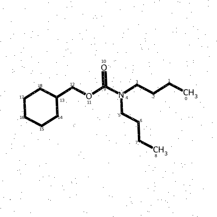 CCCCN(CCCC)C(=O)OCC1CCCCC1